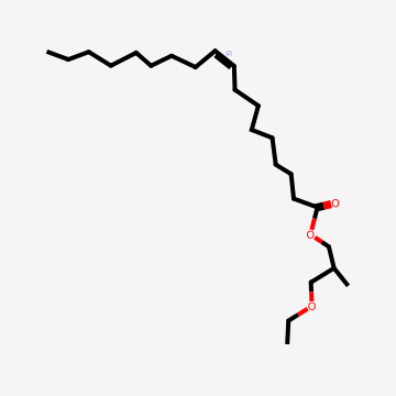 CCCCCCCC/C=C\CCCCCCCC(=O)OCC(C)COCC